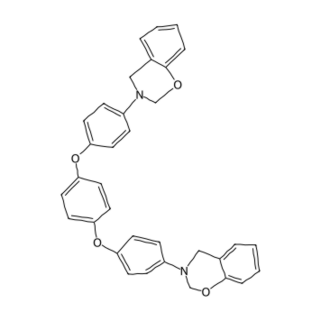 c1ccc2c(c1)CN(c1ccc(Oc3ccc(Oc4ccc(N5COc6ccccc6C5)cc4)cc3)cc1)CO2